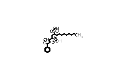 CCCCCCCCCC(CC(CCC(OC)c1ccccc1)S(=O)(=O)O)S(=O)(=O)O